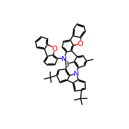 Cc1cc2c3c(c1)-n1c4ccc(C(C)(C)C)cc4c4cc(C(C)(C)C)cc(c41)B3N(c1cccc3c1oc1ccccc13)c1ccc3c(oc4ccccc43)c1-2